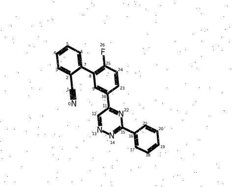 N#Cc1ccccc1-c1cc(-c2cnnc(-c3ccccc3)n2)ccc1F